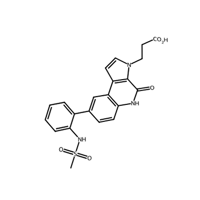 CS(=O)(=O)Nc1ccccc1-c1ccc2[nH]c(=O)c3c(ccn3CCC(=O)O)c2c1